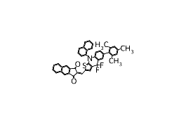 Cc1cc(C)c(-c2ccc3c(c2)C(F)(F)c2cc(C=C4C(=O)c5cc6ccccc6cc5C4=O)sc2N3c2cccc3ccccc23)c(C)c1